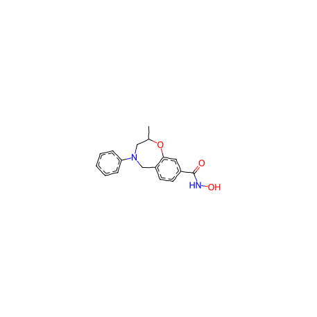 CC1CN(c2ccccc2)Cc2ccc(C(=O)NO)cc2O1